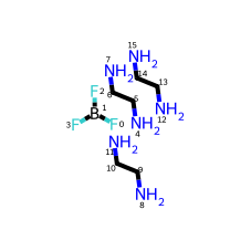 FB(F)F.NCCN.NCCN.NCCN